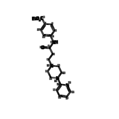 CCOC(=O)c1ccc(NC(=O)CCN2CCN(c3ccccn3)CC2)cc1